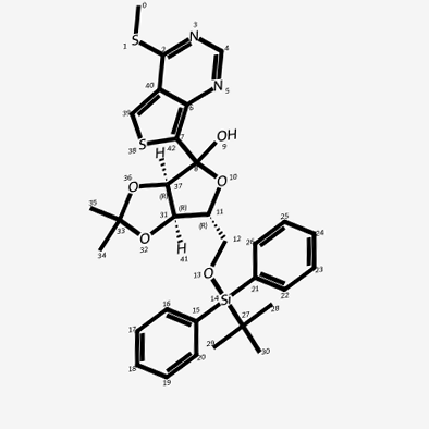 CSc1ncnc2c(C3(O)O[C@H](CO[Si](c4ccccc4)(c4ccccc4)C(C)(C)C)[C@H]4OC(C)(C)O[C@H]43)scc12